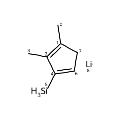 CC1=C(C)C([SiH3])=CC1.[Li]